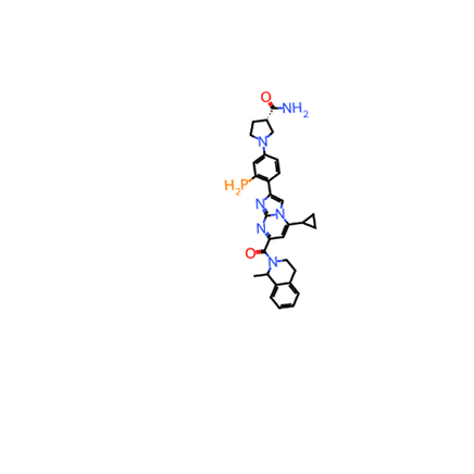 CC1c2ccccc2CCN1C(=O)c1cc(C2CC2)n2cc(-c3ccc(N4CC[C@H](C(N)=O)C4)cc3P)nc2n1